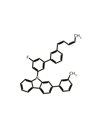 C/C=C\C=C/c1cccc(-c2cc(F)cc(-n3c4ccccc4c4ccc(-c5cccc(C)c5)cc43)c2)c1